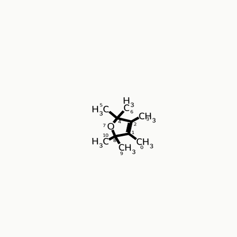 CC1=C(C)C(C)(C)OC1(C)C